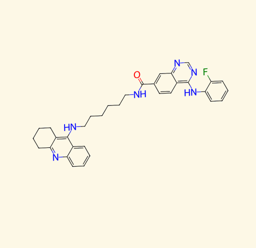 O=C(NCCCCCCNc1c2c(nc3ccccc13)CCCC2)c1ccc2c(Nc3ccccc3F)ncnc2c1